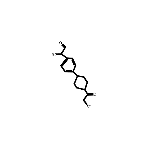 O=CC(Br)c1ccc(C2CCC(C(=O)CBr)CC2)cc1